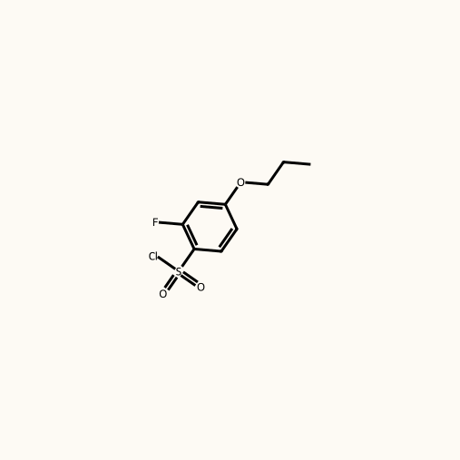 CCCOc1ccc(S(=O)(=O)Cl)c(F)c1